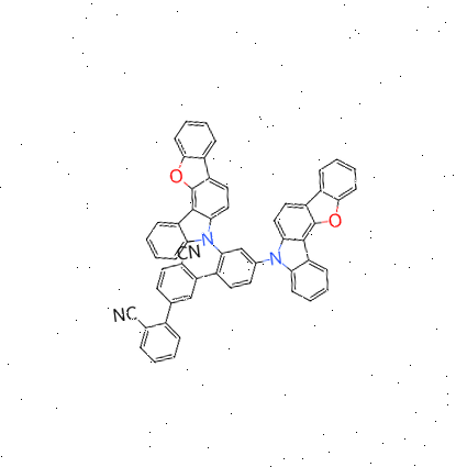 N#Cc1ccccc1-c1ccc(C#N)c(-c2ccc(-n3c4ccccc4c4c5oc6ccccc6c5ccc43)cc2-n2c3ccccc3c3c4oc5ccccc5c4ccc32)c1